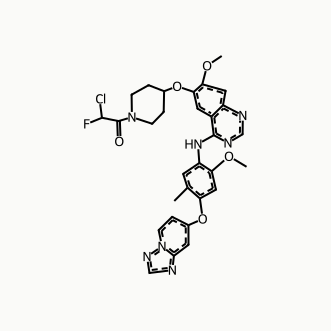 COc1cc(Oc2ccn3ncnc3c2)c(C)cc1Nc1ncnc2cc(OC)c(OC3CCN(C(=O)C(F)Cl)CC3)cc12